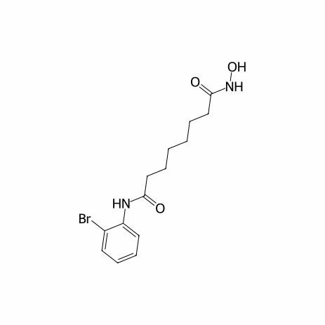 O=C(CCCCCCC(=O)Nc1ccccc1Br)NO